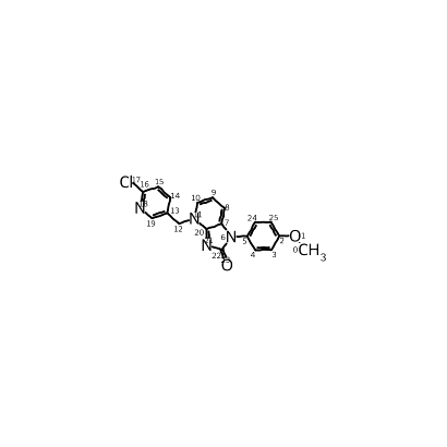 COc1ccc(-n2c3cccn(Cc4ccc(Cl)nc4)c-3nc2=O)cc1